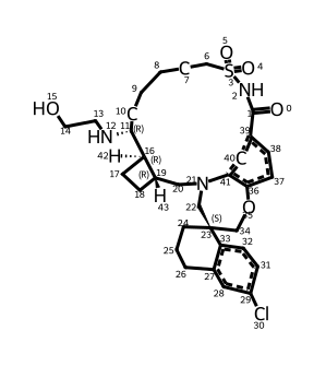 O=C1NS(=O)(=O)CCCCC[C@@H](NCCO)[C@@H]2CC[C@H]2CN2C[C@@]3(CCCc4cc(Cl)ccc43)COc3ccc1cc32